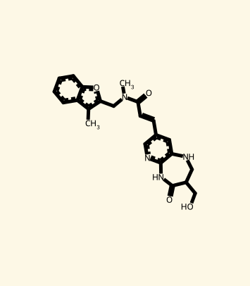 Cc1c(CN(C)C(=O)/C=C/c2cnc3c(c2)NCC(CO)C(=O)N3)oc2ccccc12